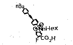 CCCCCCN(c1ccc(F)c(C(=O)O)c1)S(=O)(=O)c1ccc(C#Cc2ccc(CCCC)cc2)cc1